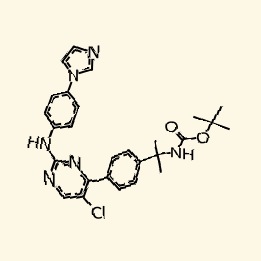 CC(C)(C)OC(=O)NC(C)(C)c1ccc(-c2nc(Nc3ccc(-n4ccnc4)cc3)ncc2Cl)cc1